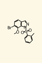 COc1c(Br)ccc2cnn(S(=O)(=O)c3ccccc3C)c12